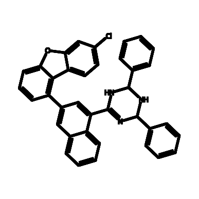 Clc1ccc2c(c1)oc1cccc(-c3cc(C4=NC(c5ccccc5)NC(c5ccccc5)N4)c4ccccc4c3)c12